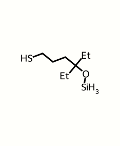 CCC(CC)(CCCS)O[SiH3]